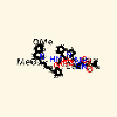 CC[C@@H]1C[C@]1(NC(=O)[C@@H]1CCCN1C(=O)C(NC(=O)O[C@@H]1CCC[C@H]1CCCCCc1nc2ccc(OC)cc2cc1OC)C1CCCC1)C(=O)NS(=O)(=O)C1CC1